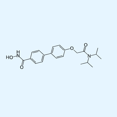 CC(C)N(C(=O)COc1ccc(-c2ccc(C(=O)NO)cc2)cc1)C(C)C